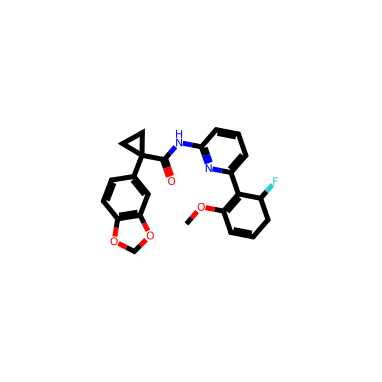 COC1=C(c2cccc(NC(=O)C3(c4ccc5c(c4)OCO5)CC3)n2)C(F)CC=C1